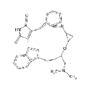 CN(C)CC1CCn2cc(c3ccccc32)C2=C(/C=c3\cccc\c3=N/C3CC3O1)C(=O)NC2=O